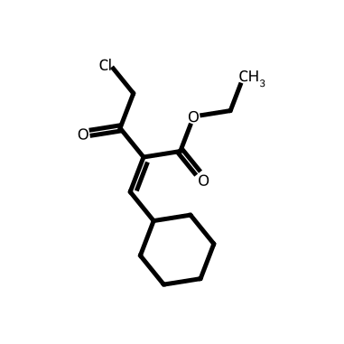 CCOC(=O)C(=CC1CCCCC1)C(=O)CCl